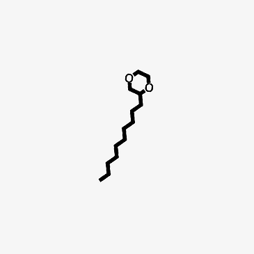 CCCCCCCCCCC1COCCO1